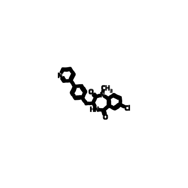 CN1C(=O)C(Cc2ccc(-c3cccnc3)cc2)NC(=O)c2cc(Cl)ccc21